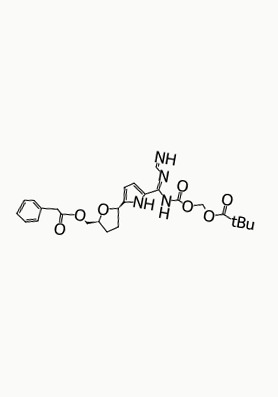 CC(C)(C)C(=O)OCOC(=O)N/C(=N/C=N)c1ccc([C@H]2CC[C@@H](COC(=O)Cc3ccccc3)O2)[nH]1